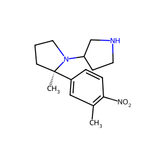 Cc1cc([C@@]2(C)CCCN2C2CCNC2)ccc1[N+](=O)[O-]